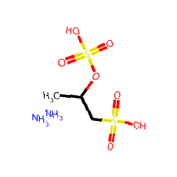 CC(CS(=O)(=O)O)OS(=O)(=O)O.N.N